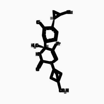 CC(C)C1=CN(C23CC(C(=O)O)(C2)C3)C(=O)N[C@@]1(C)c1ccc([C@@H]2CC2C(C)(C)C)c(Cl)c1